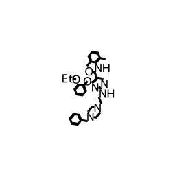 CCOc1ccccc1Oc1nc(NCCN2CCN(Cc3ccccc3)CC2)ncc1C(=O)Nc1c(C)cccc1C